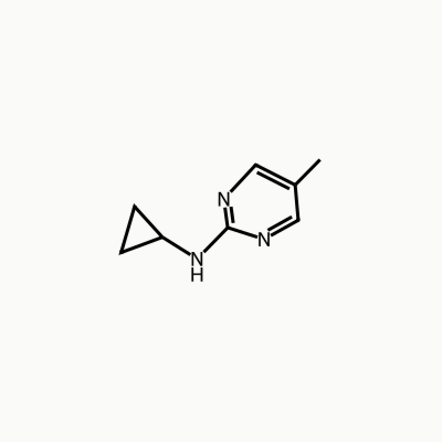 Cc1cnc(NC2CC2)nc1